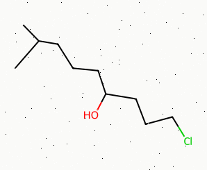 CC(C)CCCC(O)CCCCl